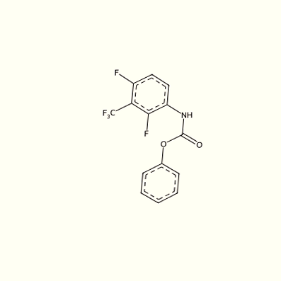 O=C(Nc1ccc(F)c(C(F)(F)F)c1F)Oc1ccccc1